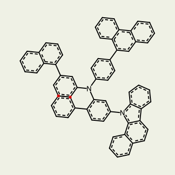 c1ccc(-c2ccc(-n3c4ccccc4c4ccc5ccccc5c43)cc2N(c2ccc(-c3cc4ccccc4c4ccccc34)cc2)c2cccc(-c3cccc4ccccc34)c2)cc1